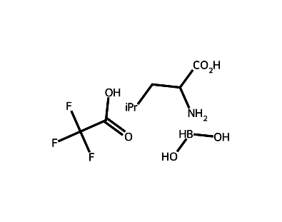 CC(C)CC(N)C(=O)O.O=C(O)C(F)(F)F.OBO